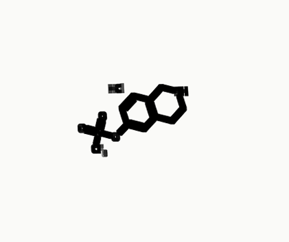 Cl.O=S(=O)(Oc1ccc2c(c1)CCNC2)C(F)(F)F